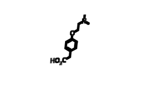 CN(C)CCOc1ccc(CC(=O)O)cc1